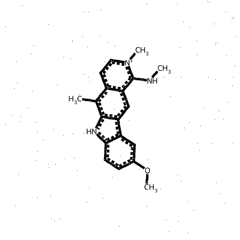 CNc1c2cc3c([nH]c4ccc(OC)cc43)c(C)c2cc[n+]1C